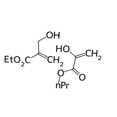 C=C(CO)C(=O)OCC.C=C(O)C(=O)OCCC